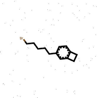 BrCCCCCc1ccc2c(c1)CC2